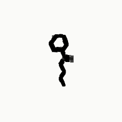 CCCCNC1=CC[CH]C=C1